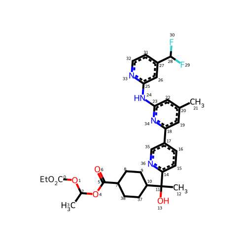 CCOC(=O)OC(C)OC(=O)C1CCC(C(C)(O)c2ccc(-c3cc(C)cc(Nc4cc(C(F)F)ccn4)n3)cn2)CC1